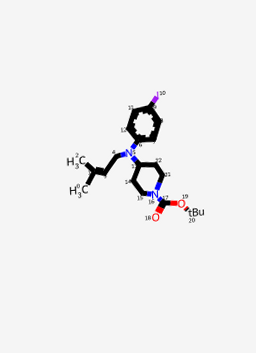 CC(C)=CCN(c1ccc(I)cc1)C1CCN(C(=O)OC(C)(C)C)CC1